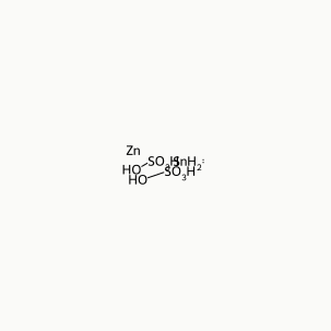 O=S(=O)(O)O.O=S(=O)(O)O.[SnH2].[Zn]